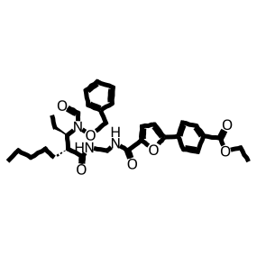 CCCCC[C@@H](C(=O)NCNC(=O)c1ccc(-c2ccc(C(=O)OCC)cc2)o1)[C@@H](CC)N(C=O)OCc1ccccc1